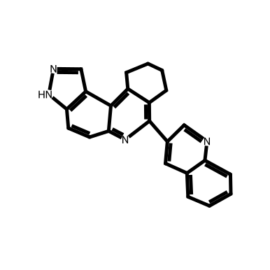 c1ccc2ncc(-c3nc4ccc5[nH]ncc5c4c4c3CCCC4)cc2c1